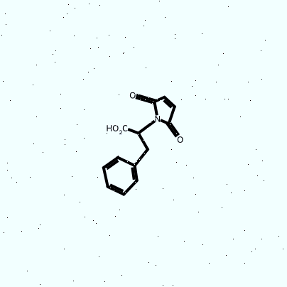 O=C(O)C(Cc1ccccc1)N1C(=O)C=CC1=O